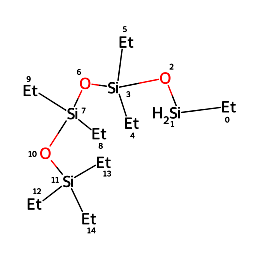 CC[SiH2]O[Si](CC)(CC)O[Si](CC)(CC)O[Si](CC)(CC)CC